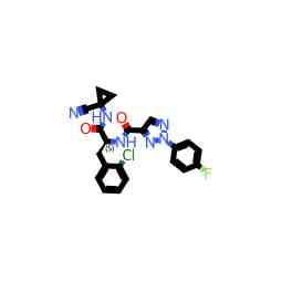 N#CC1(NC(=O)[C@H](Cc2ccccc2Cl)NC(=O)c2cnn(-c3ccc(F)cc3)n2)CC1